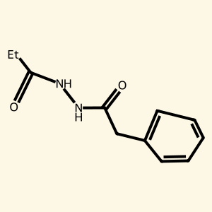 CCC(=O)NNC(=O)Cc1ccccc1